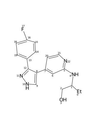 CCC(CO)Nc1cc(-c2c[nH]nc2-c2ccc(F)cc2)ccn1